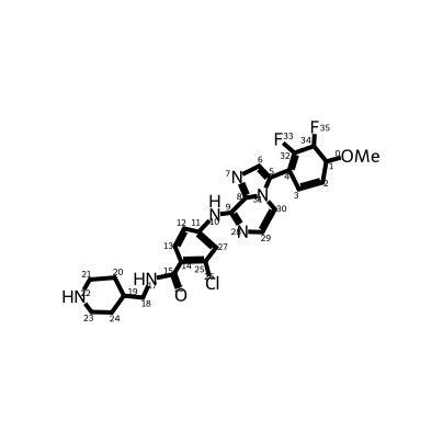 COC1C=CC(c2cnc3c(Nc4ccc(C(=O)NCC5CCNCC5)c(Cl)c4)nccn23)=C(F)C1F